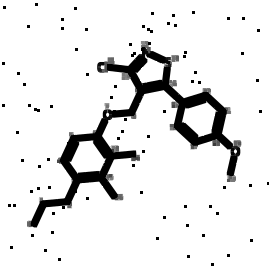 CCCc1ccc(OCc2c(Cl)nsc2-c2ccc(OC)cc2)c(C)c1C